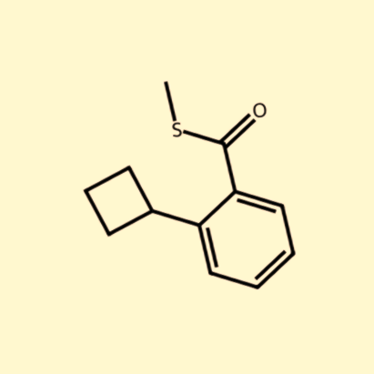 CSC(=O)c1ccccc1C1CCC1